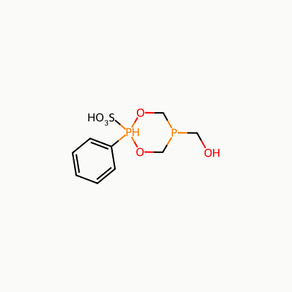 O=S(=O)(O)[PH]1(c2ccccc2)OCP(CO)CO1